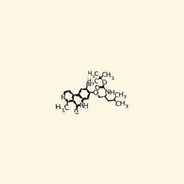 Cc1nccc2c1c(=O)[nH]c1cc(OC[C@H](CC(C)C)NC(=O)OC(C)(C)C)c(Br)cc12